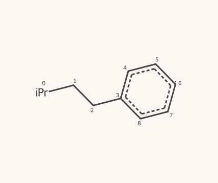 CC(C)CCc1cc[c]cc1